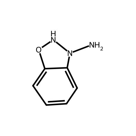 NN1NOc2ccccc21